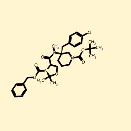 CN(C(=O)C1COC(C)(C)N1C(=O)OCc1ccccc1)[C@@]1(Cc2ccc(Cl)cc2)CCCN(C(=O)OC(C)(C)C)C1